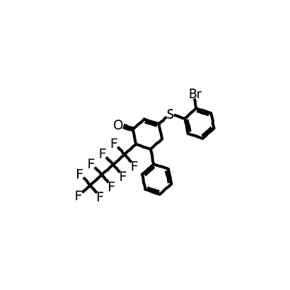 O=C1C=C(Sc2ccccc2Br)CC(c2ccccc2)C1C(F)(F)C(F)(F)C(F)(F)C(F)(F)F